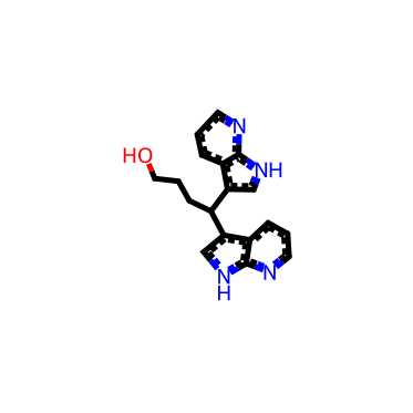 OCCCC(c1c[nH]c2ncccc12)c1c[nH]c2ncccc12